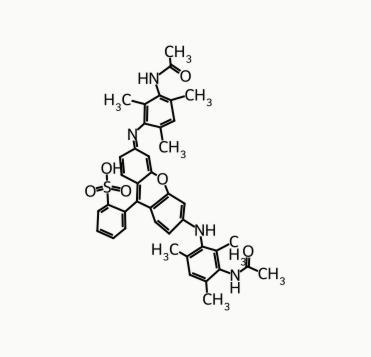 CC(=O)Nc1c(C)cc(C)c(N=c2ccc3c(-c4ccccc4S(=O)(=O)O)c4ccc(Nc5c(C)cc(C)c(NC(C)=O)c5C)cc4oc-3c2)c1C